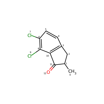 CC1Cc2ccc(Cl)c(Cl)c2C1=O